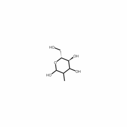 CC1C(O)O[C@H](CO)[C@@H](O)C1O